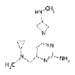 CNC1CN(c2cc(CN(C)C3CC3)nc(N)n2)C1